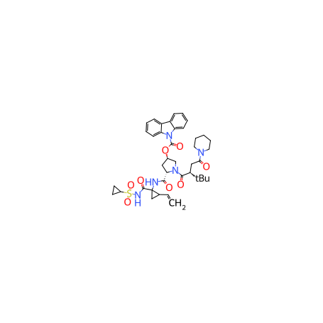 C=CC1CC1(NC(=O)[C@@H]1C[C@@H](OC(=O)n2c3ccccc3c3ccccc32)CN1C(=O)[C@@H](CC(=O)N1CCCCC1)C(C)(C)C)C(=O)NS(=O)(=O)C1CC1